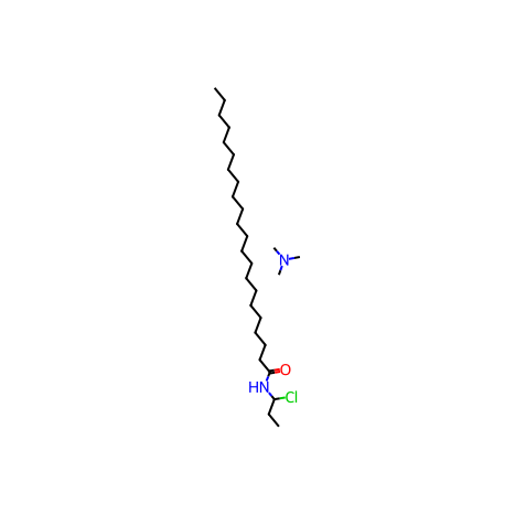 CCCCCCCCCCCCCCCCCCCCCC(=O)NC(Cl)CC.CN(C)C